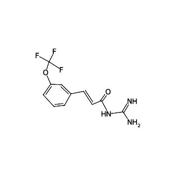 N=C(N)NC(=O)C=Cc1cccc(OC(F)(F)F)c1